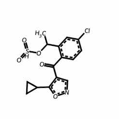 CC(O[SH](=O)=O)c1cc(Cl)ccc1C(=O)c1cnoc1C1CC1